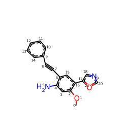 COc1cc(N)c(C#Cc2ccccc2)cc1-c1cnco1